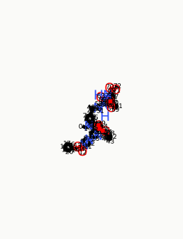 CCn1c(-c2cc(N3CCN(C(=O)OCc4ccccc4)CC3)cnc2[C@@H](C)OC)c(CC(C)(C)CO[Si](C)(C)C(C)(C)C)c2cc([C@H]3C[C@@H]3N(C)C[C@@H](NC(=O)OC(C)(C)C)C(=O)N3CCC[C@@H](C(=O)OC)N3)ccc21